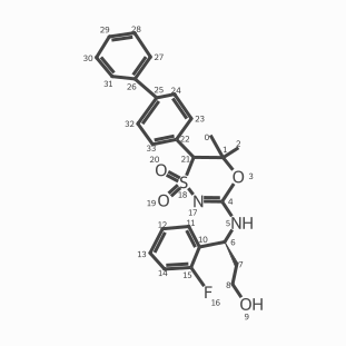 CC1(C)OC(N[C@@H](CCO)c2ccccc2F)=NS(=O)(=O)C1c1ccc(-c2ccccc2)cc1